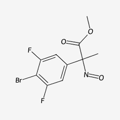 COC(=O)C(C)(N=O)c1cc(F)c(Br)c(F)c1